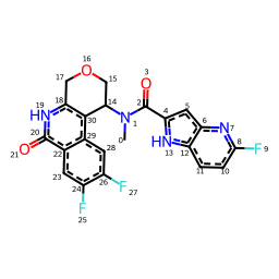 CN(C(=O)c1cc2nc(F)ccc2[nH]1)C1COCc2[nH]c(=O)c3cc(F)c(F)cc3c21